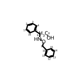 CO.c1ccc(CNOCc2ccccc2)cc1